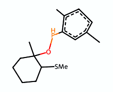 CSC1CCCCC1(C)OPc1cc(C)ccc1C